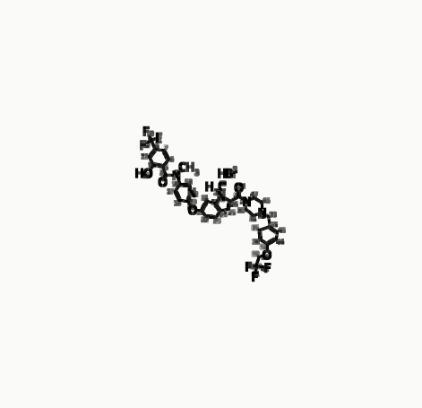 Br.CN(C(=O)c1ccc(C(F)(F)F)cc1O)c1ccc(Oc2ccc3cc(C(=O)N4CCN(Cc5ccc(OCC(F)(F)F)cc5)CC4)n(C)c3c2)nc1